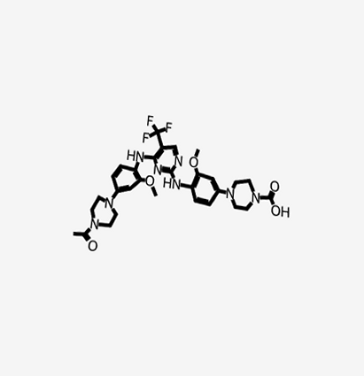 COc1cc(N2CCN(C(=O)O)CC2)ccc1Nc1ncc(C(F)(F)F)c(Nc2ccc(N3CCN(C(C)=O)CC3)cc2OC)n1